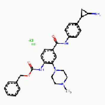 CN1CCN(c2cc(C(=O)Nc3ccc(C4CC4N)cc3)ccc2NC(=O)OCc2ccccc2)CC1.Cl.Cl